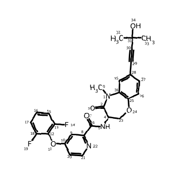 CN1C(=O)[C@H](NC(=O)c2cc(Oc3c(F)cccc3F)ccn2)COc2ccc(C#CC(C)(C)O)cc21